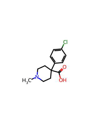 CN1CCC(C(=O)O)(c2ccc(Cl)cc2)CC1